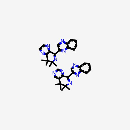 CC1(C)N=C(c2cnc3ccccc3n2)c2nccnc2C1(C)C.CC1(C)N=C(c2cnc3ccccc3n2)c2ncncc2C1(C)C